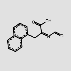 O=[C]/N=C(/Cc1cccc2ccccc12)C(=O)O